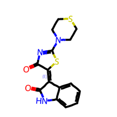 O=C1N=C(N2CCSCC2)S/C1=C1/C(=O)Nc2ccccc21